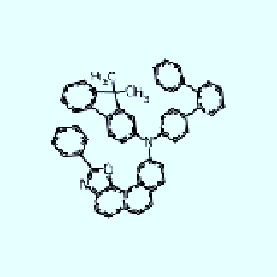 CC1(C)c2ccccc2-c2ccc(N(c3ccc(-c4ccccc4-c4ccccc4)cc3)c3ccc4ccc5ccc6nc(-c7ccccc7)oc6c5c4c3)cc21